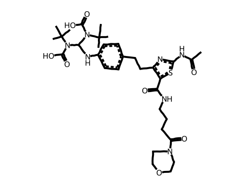 CC(=O)Nc1nc(CCc2ccc(NC(N(C(=O)O)C(C)(C)C)N(C(=O)O)C(C)(C)C)cc2)c(C(=O)NCCCC(=O)N2CCOCC2)s1